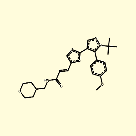 COc1ccc(-c2c(-c3nc(C=CC(=O)NCC4CCOCC4)cs3)cnn2C(C)(C)C)cc1